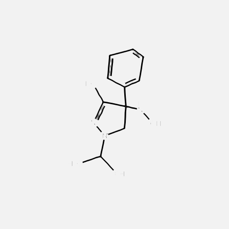 CC1=NN(C(C)C)CC1(NO)c1ccccc1